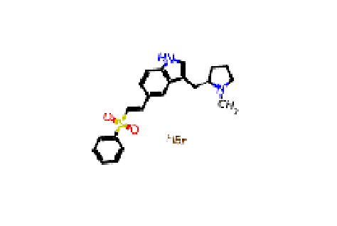 Br.CN1CCC[C@@H]1Cc1c[nH]c2ccc(/C=C/S(=O)(=O)c3ccccc3)cc12